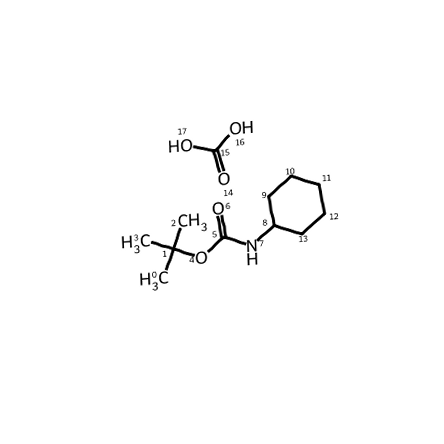 CC(C)(C)OC(=O)NC1CCCCC1.O=C(O)O